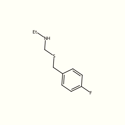 CCNCSCc1ccc(F)cc1